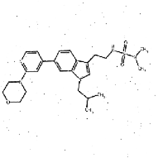 CC(C)Cn1cc(CCNS(=O)(=O)N(C)C)c2ccc(-c3ccnc(N4CCOCC4)c3)cc21